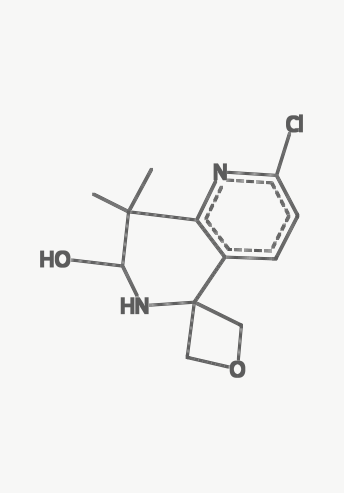 CC1(C)c2nc(Cl)ccc2C2(COC2)NC1O